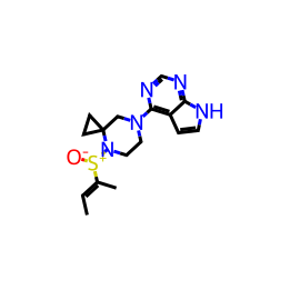 C/C=C(\C)[S+]([O-])N1CCN(c2ncnc3[nH]ccc23)CC12CC2